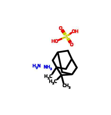 CC12CC3CC(CC(C3)C1(C)C)C2.N.N.O=S(=O)(O)O